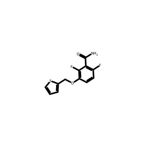 NC(=O)c1c(F)ccc(OCc2cccs2)c1F